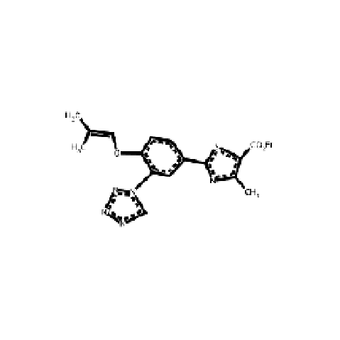 CCOC(=O)c1sc(-c2ccc(OC=C(C)C)c(-n3cnnn3)c2)nc1C